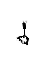 C#Cc1[c]scc1